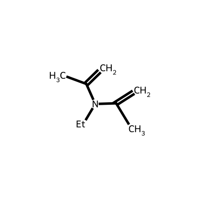 C=C(C)N(CC)C(=C)C